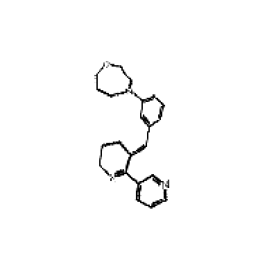 C(=C1CCCN=C1c1cccnc1)c1cccc(N2CCCOCC2)c1